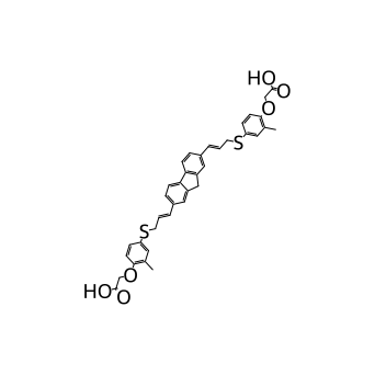 Cc1cc(SCC=Cc2ccc3c(c2)Cc2cc(C=CCSc4ccc(OCC(=O)O)c(C)c4)ccc2-3)ccc1OCC(=O)O